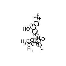 CC(C)(C)OC(=O)N1CC(F)CC1C(=O)NCc1cc(-c2ccc(C(F)(F)F)cc2)c(C(=O)O)cn1